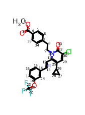 COC(=O)c1ccc(CCn2c(/C=C/c3cccc(OC(F)(F)F)c3)c(C3CC3)cc(Cl)c2=O)cc1